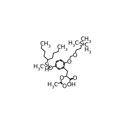 CCCCC(CCCC)[SiH](C)Oc1ccc(OCOCC[Si](C)(C)C)c(CC(OC(C)=O)C(=O)O)c1